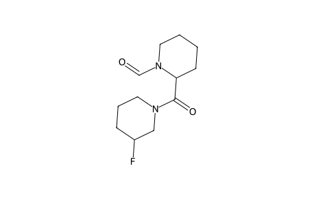 O=CN1CCCCC1C(=O)N1CCCC(F)C1